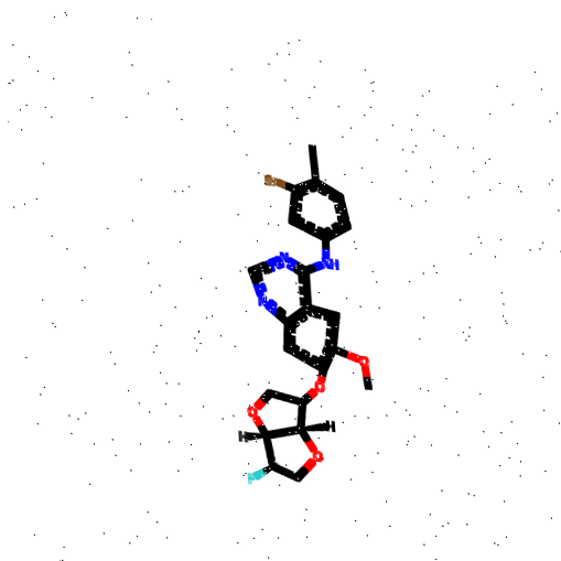 COc1cc2c(Nc3ccc(C)c(Br)c3)ncnc2cc1OC1CO[C@H]2[C@H](F)CO[C@@H]12